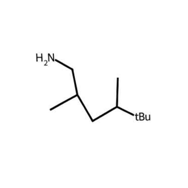 CC(CN)CC(C)C(C)(C)C